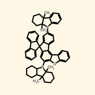 CC12CCCCC1(C)N(c1ccc3c(c1)C1(c4ccccc4-c4ccccc41)c1cc(N4C5CCCCC5C5(C)CCCCC45C)c4oc5ccccc5c4c1-3)c1ccccc12